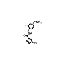 Cc1cc(CN)ccc1CNC(=O)c1cn(C(C)C)nn1